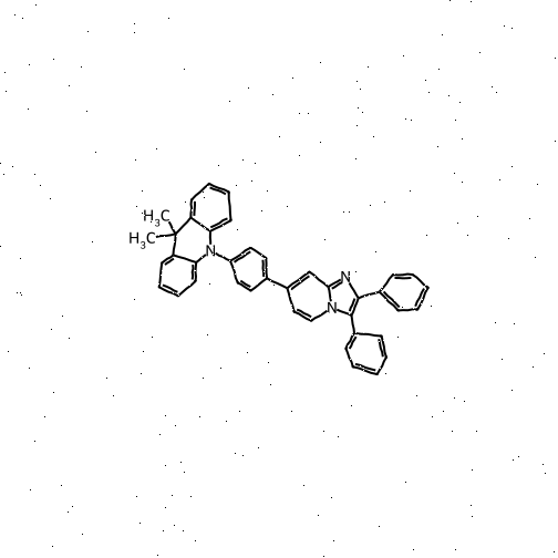 CC1(C)c2ccccc2N(c2ccc(-c3ccn4c(-c5ccccc5)c(-c5ccccc5)nc4c3)cc2)c2ccccc21